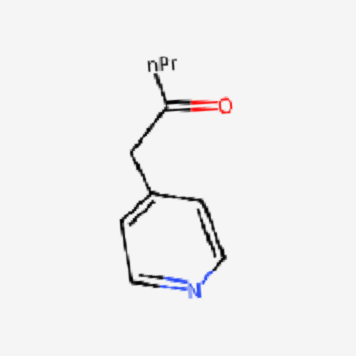 CCCC(=O)Cc1ccncc1